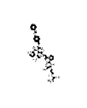 CC(C)C[C@@H](C(=O)NCC(=O)N1CCC[C@H]1C(=O)N[C@H](CCCNC(=N)N)C(=O)O)N(C(=O)OCc1ccc(N=Nc2ccccc2)cc1)C(=O)[C@@H]1CCCN1